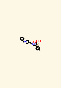 Cc1ccc2c(CNCCC3CCN(Cc4ccccc4)CC3)c(C(=O)O)sc2c1